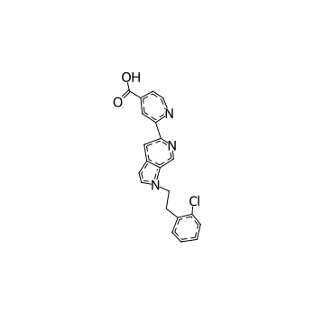 O=C(O)c1ccnc(-c2cc3ccn(CCc4ccccc4Cl)c3cn2)c1